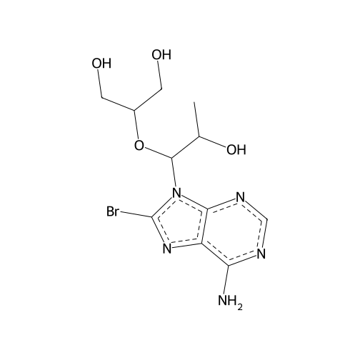 CC(O)C(OC(CO)CO)n1c(Br)nc2c(N)ncnc21